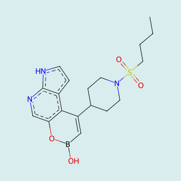 CCCCS(=O)(=O)N1CCC(C2=CB(O)Oc3cnc4[nH]ccc4c32)CC1